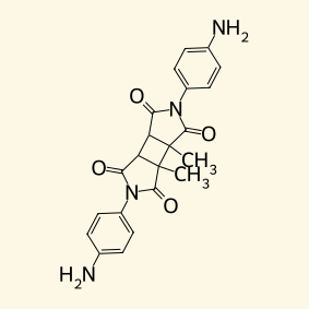 CC12C(=O)N(c3ccc(N)cc3)C(=O)C1C1C(=O)N(c3ccc(N)cc3)C(=O)C12C